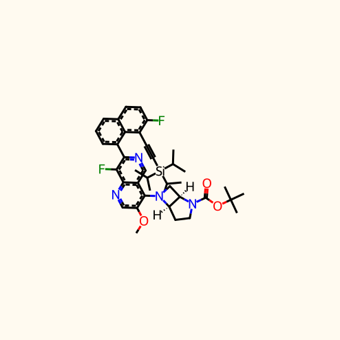 COc1cnc2c(F)c(-c3cccc4ccc(F)c(C#C[Si](C(C)C)(C(C)C)C(C)C)c34)ncc2c1N1C[C@@H]2[C@H]1CCN2C(=O)OC(C)(C)C